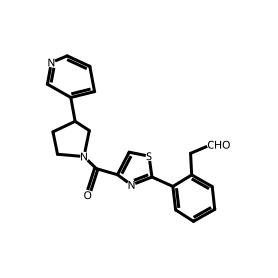 O=CCc1ccccc1-c1nc(C(=O)N2CCC(c3cccnc3)C2)cs1